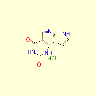 Cl.O=c1[nH]c(=O)c2cnc3[nH]ccc3c2[nH]1